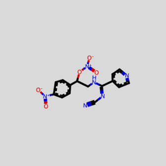 N#CN=C(NCC(O[N+](=O)[O-])c1ccc([N+](=O)[O-])cc1)c1ccncc1